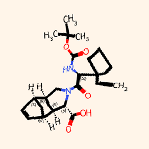 C=CC1([C@H](NC(=O)OC(C)(C)C)C(=O)N2C[C@H]3[C@@H]([C@H]2C(=O)O)[C@H]2C=C[C@@H]3C2)CCC1